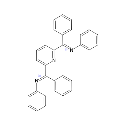 c1ccc(/N=C(\c2ccccc2)c2cccc(/C(=N/c3ccccc3)c3ccccc3)n2)cc1